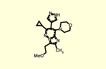 COCCc1c(C)nc2c(N3CCOCC3)c(-c3cn[nH]c3)c(C3CC3)nn12